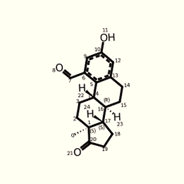 C[C@]12CC[C@@H]3c4c(C=O)cc(O)cc4CC[C@H]3[C@@H]1CCC2=O